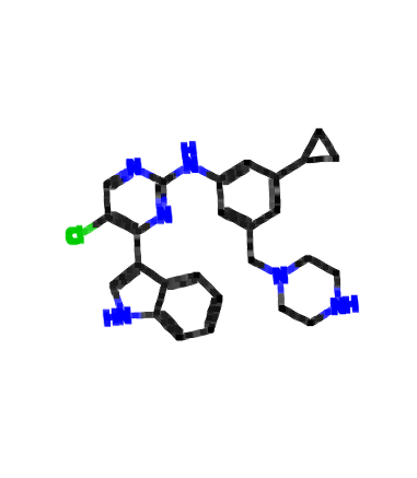 Clc1cnc(Nc2cc(CN3CCNCC3)cc(C3CC3)c2)nc1-c1c[nH]c2ccccc12